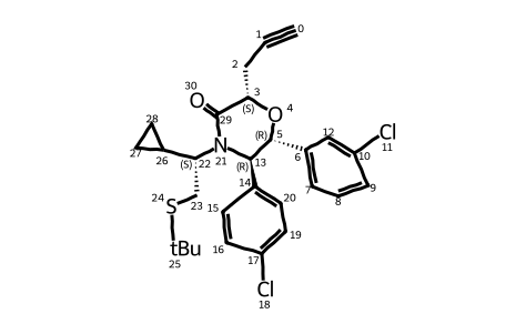 C#CC[C@@H]1O[C@H](c2cccc(Cl)c2)[C@@H](c2ccc(Cl)cc2)N([C@H](CSC(C)(C)C)C2CC2)C1=O